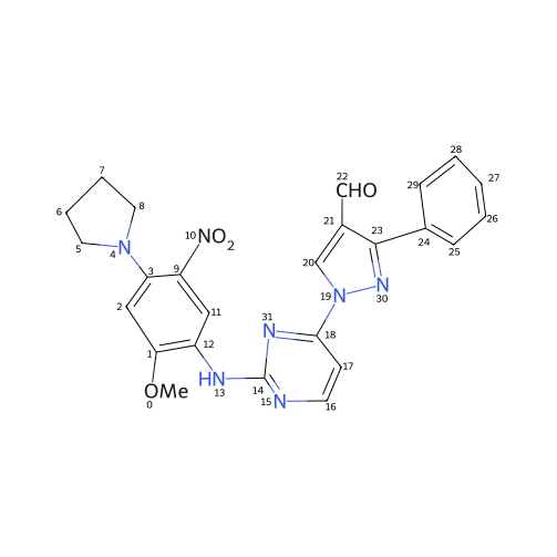 COc1cc(N2CCCC2)c([N+](=O)[O-])cc1Nc1nccc(-n2cc(C=O)c(-c3ccccc3)n2)n1